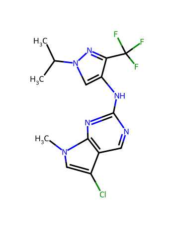 CC(C)n1cc(Nc2ncc3c(Cl)cn(C)c3n2)c(C(F)(F)F)n1